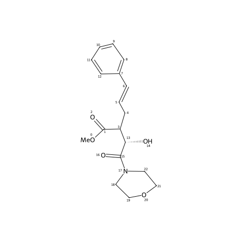 COC(=O)C(CC=Cc1ccccc1)[C@H](O)C(=O)N1CCOCC1